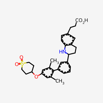 Cc1cc(OC2CCS(=O)(=O)CC2)cc(C)c1-c1cccc(C2CCc3cc(CCC(=O)O)ccc3N2)c1